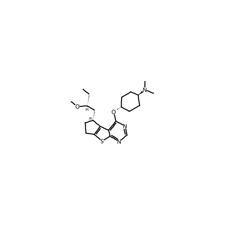 CC[C@H](C[C@H]1CCc2sc3ncnc(O[C@H]4CC[C@H](N(C)C)CC4)c3c21)OC